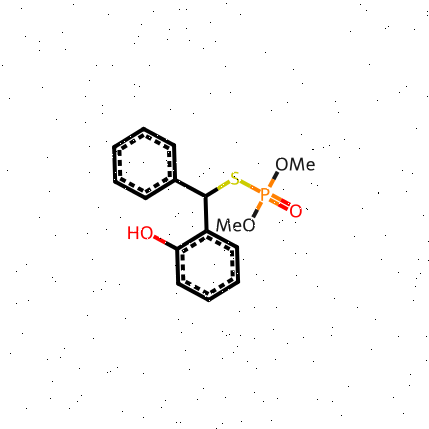 COP(=O)(OC)SC(c1ccccc1)c1ccccc1O